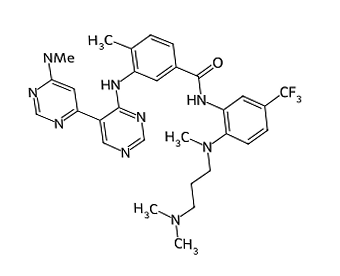 CNc1cc(-c2cncnc2Nc2cc(C(=O)Nc3cc(C(F)(F)F)ccc3N(C)CCCN(C)C)ccc2C)ncn1